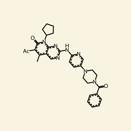 CC(=O)c1c(C)c2cnc(Nc3ccc(N4CCN(C(=O)c5ccccc5)CC4)cn3)nc2n(C2CCCC2)c1=O